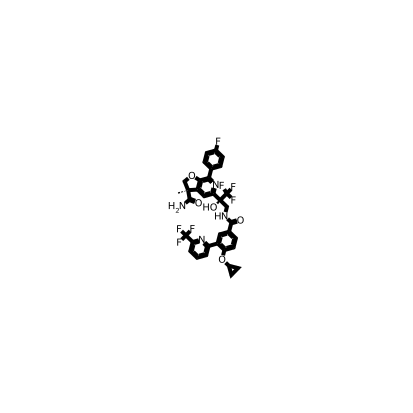 C[C@]1(C(N)=O)COc2c1cc([C@@](O)(CNC(=O)c1ccc(OC3CC3)c(-c3cccc(C(F)(F)F)n3)c1)C(F)(F)F)nc2-c1ccc(F)cc1